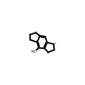 N#Cc1c2c(cc3c1CCC3)CCC2